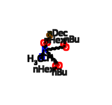 CCCCCCCCCCSSCCOC(=O)CCN(CCCN(C)C)C(CCCCCCCCC(=O)OCC(CCCC)CCCCCC)CCCCCCCCC(=O)OCC(CCCC)CCCCCC